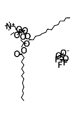 CCCCCCCCCCCCCC(=O)OCC(COP(=O)(OCC)OCC[N+](C)(C)C)OC(=O)CCCCCCCCCCCCC.O=S(=O)([O-])C(F)(F)F